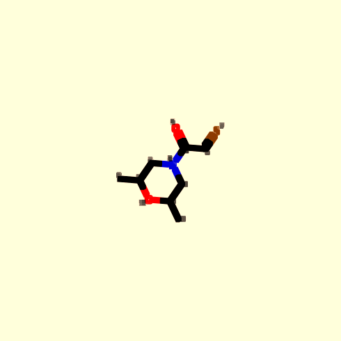 CC1CN(C(=O)C=S)CC(C)O1